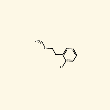 O=S(=O)(O)OCCc1ccccc1Cl